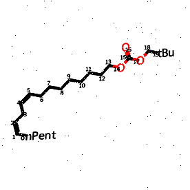 CCCCC/C=C\C/C=C\CCCCCCCCOC(=O)OCC(C)(C)C